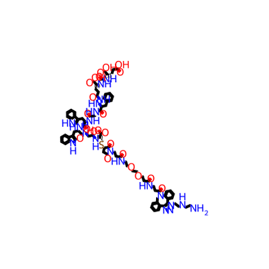 NCCNCCn1nnc2c1-c1ccccc1N(C(=O)CCNC(=O)CCOCCOCCNC(=O)CCN1C(=O)CC(SC[C@H](NC(=O)CNC(=O)C(Cc3c[nH]c4ccccc34)NC(=O)C(Cc3c[nH]c4ccccc34)NC(=O)CNC(=O)C(Cc3ccccc3)NNC(=O)CC[C@H](NC(=O)N[C@@H](CCC(=O)O)C(=O)O)C(=O)O)C(=O)O)C1=O)Cc1ccccc1-2